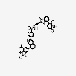 CC(C)c1cc(-c2cccc3cc(-c4ccc(C(=O)NCC#Cc5nc6c(C7CCC(=O)NC7=O)cccc6n5C)nc4)ncc23)cc2c1n(C)c(=O)n2C